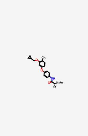 CC[C@@H](NC)C(=O)Nc1ccc(Oc2ccc(C#N)c(OCC3CC3)c2)cc1